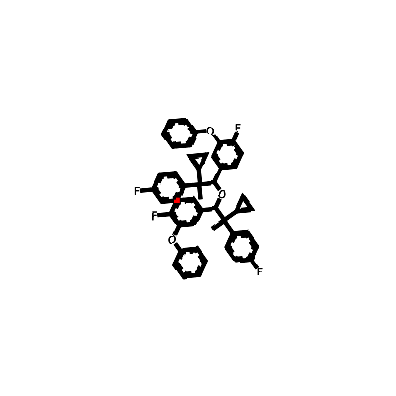 CC(c1ccc(F)cc1)(C1CC1)C(OC(c1ccc(F)c(Oc2ccccc2)c1)C(C)(c1ccc(F)cc1)C1CC1)c1ccc(F)c(Oc2ccccc2)c1